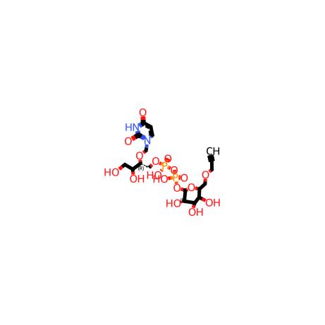 C#CCOCC1OC(OP(=O)(O)OP(=O)(O)OC[C@@H](OCn2ccc(=O)[nH]c2=O)C(O)CO)[C@H](O)C(O)C1O